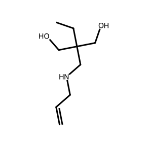 C=CCNCC(CC)(CO)CO